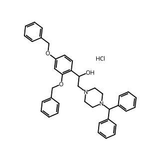 Cl.OC(CN1CCN(C(c2ccccc2)c2ccccc2)CC1)c1ccc(OCc2ccccc2)cc1OCc1ccccc1